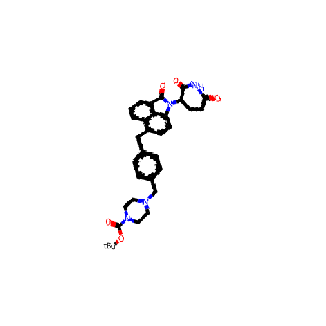 CC(C)(C)OC(=O)N1CCN(Cc2ccc(Cc3ccc4c5c(cccc35)C(=O)N4C3CCC(=O)NC3=O)cc2)CC1